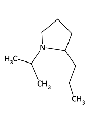 CCCC1CCCN1C(C)C